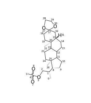 C[C@H](COS(C)(=O)=O)[C@H]1CCC2C3CC[C@H]4CC5(CC[C@]4(C)C3CC[C@@]21C)OCCO5